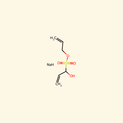 C=CCOS(=O)(=O)C(O)C=C.[NaH]